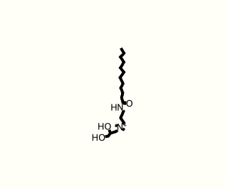 CCCCCCCCCCCC(=O)NCCC[N+](C)(C)CC(O)CO